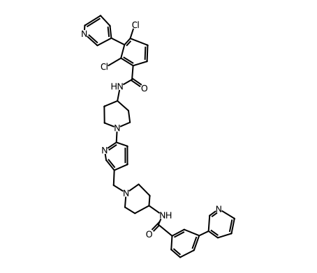 O=C(NC1CCN(Cc2ccc(N3CCC(NC(=O)c4ccc(Cl)c(-c5cccnc5)c4Cl)CC3)nc2)CC1)c1cccc(-c2cccnc2)c1